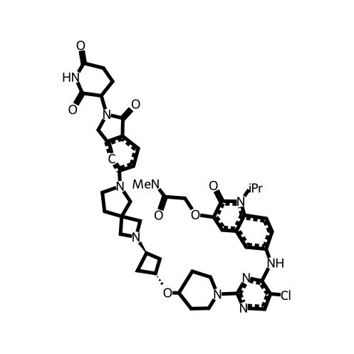 CNC(=O)COc1cc2cc(Nc3nc(N4CCC(O[C@H]5C[C@H](N6CC7(CCN(c8ccc9c(c8)CN(C8CCC(=O)NC8=O)C9=O)C7)C6)C5)CC4)ncc3Cl)ccc2n(C(C)C)c1=O